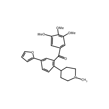 COc1cc(C(=O)c2cc(-c3ccco3)ccc2C2CCN(C)CC2)cc(OC)c1OC